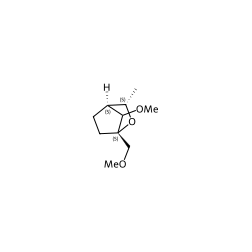 COC[C@@]12CC[C@H](C1OC)[C@H](C)O2